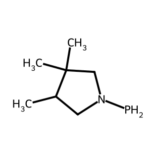 CC1CN(P)CC1(C)C